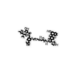 Cc1cc([C@H](C(=O)N2C[C@H](O)C[C@H]2C(=O)NCc2ccc(-c3scnc3C)cc2OCCOCCNCC(=O)CCNc2nc(N3CCNCC3)c3cc(Cl)c(-c4cc(O)cc5ccccc45)c(F)c3n2)C(C)C)on1